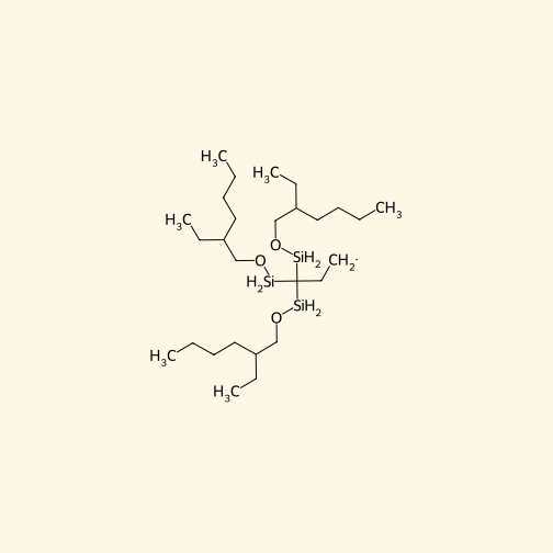 [CH2]CC([SiH2]OCC(CC)CCCC)([SiH2]OCC(CC)CCCC)[SiH2]OCC(CC)CCCC